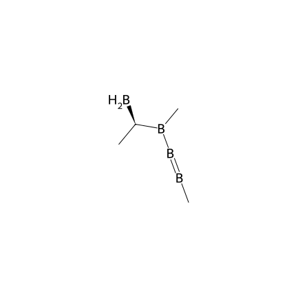 B[C@H](C)B(C)/B=B\C